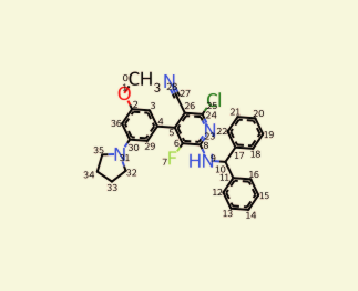 COc1cc(-c2c(F)c(NC(c3ccccc3)c3ccccc3)nc(Cl)c2C#N)cc(N2CCCC2)c1